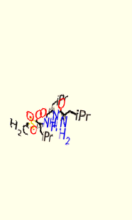 C=CS(=O)(=O)C(=O)[C@H](CC(C)C)NC(=O)[C@H](CC(C)C)NC(=O)[C@@H](N)CC(C)C